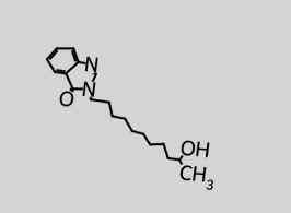 CC(O)CCCCCCCCCn1cnc2ccccc2c1=O